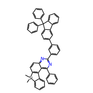 C[Si]1(C)c2ccccc2-c2c1ccc1nc(-c3cccc(-c4ccc5c(c4)-c4ccccc4C5(c4ccccc4)c4ccccc4)c3)nc(-c3ccccc3)c21